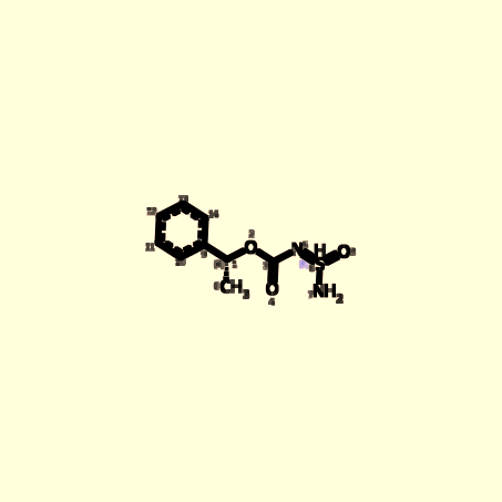 C[C@@H](OC(=O)/N=[SH](\N)=O)c1ccccc1